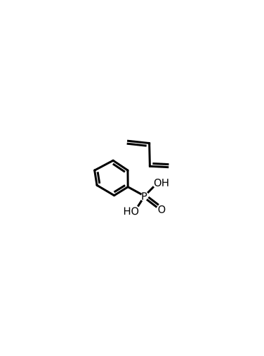 C=CC=C.O=P(O)(O)c1ccccc1